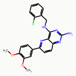 COc1ccc(-c2ccc3nc(N)nc(NCc4ccccc4Cl)c3n2)cc1OC